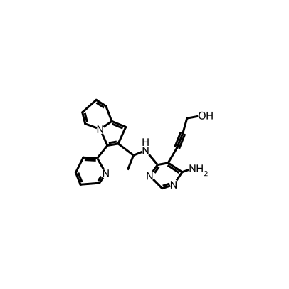 CC(Nc1ncnc(N)c1C#CCO)c1cc2ccccn2c1-c1ccccn1